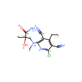 CCc1c(C#N)c(Cl)nc(N(C)CC(C)(O)C(N)=O)c1C#N